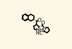 N#C[C@@H]1CCCN1C(=O)[C@@H]1NCCC1C(=O)[C@H]1CCc2ccccc2C1